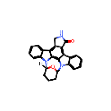 O=C1NCc2c1c1c3ccccc3n3c1c1c2c2ccccc2n1[C@H]1CCCC3O1